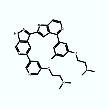 CN(C)CCOc1cncc(-c2cc3c(-c4cc5c(-c6cc(F)cc(OCCN(C)C)c6)nccc5[nH]4)n[nH]c3cn2)c1